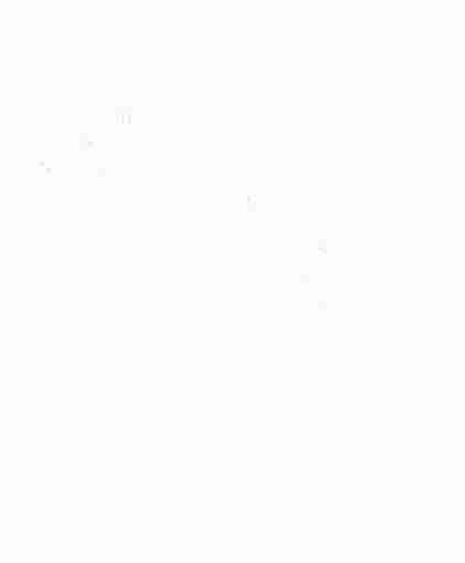 CN1C(=O)NC(=O)C12Cc1ccc(NC(=O)CN(C(=O)[C@](C)(OCc3ccccc3)C(F)(F)F)C3CCCCCC3)cc1C2